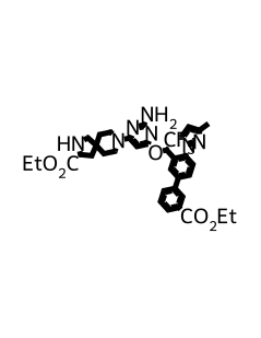 CCOC(=O)c1cccc(-c2ccc(-n3ccc(C)n3)c([C@@H](Oc3cc(N4CCC5(CC4)CN[C@H](C(=O)OCC)C5)nc(N)n3)C(F)(F)F)c2)c1